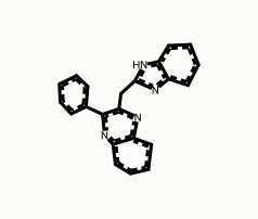 c1ccc(-c2nc3ccccc3nc2Cc2nc3ccccc3[nH]2)cc1